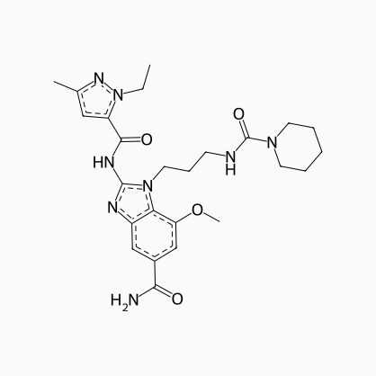 CCn1nc(C)cc1C(=O)Nc1nc2cc(C(N)=O)cc(OC)c2n1CCCNC(=O)N1CCCCC1